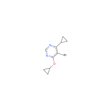 CC(C)c1c(OC2CC2)ncnc1C1CC1